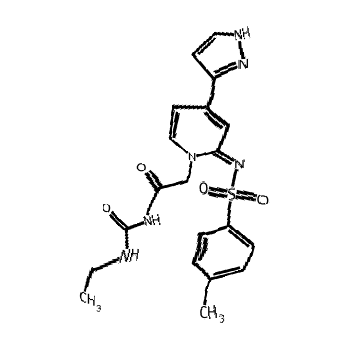 CCNC(=O)NC(=O)Cn1ccc(-c2cc[nH]n2)c/c1=N/S(=O)(=O)c1ccc(C)cc1